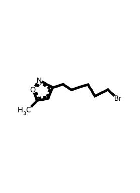 Cc1cc(CCCCCBr)no1